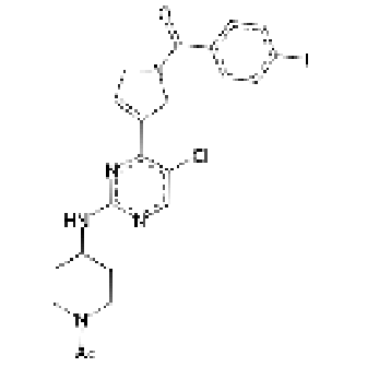 CC(=O)N1CCC(Nc2ncc(Cl)c(C3=CCN(C(=O)c4ccc(F)cc4)C3)n2)CC1